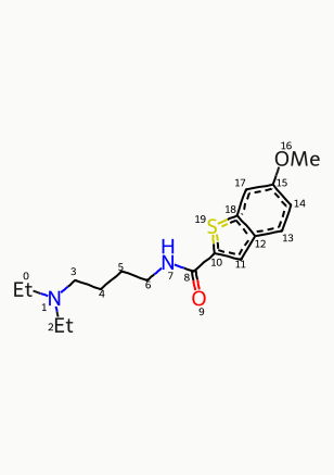 CCN(CC)CCCCNC(=O)c1cc2ccc(OC)cc2s1